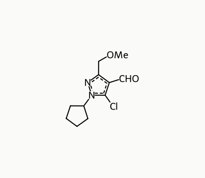 COCc1nn(C2CCCC2)c(Cl)c1C=O